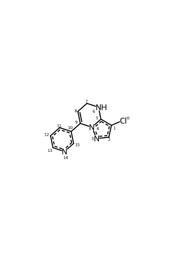 Clc1cnn2c1NCC=C2c1cccnc1